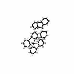 c1ccc(-n2c3ccccc3c3cccc(-c4ccc5c(c4)-c4ccccc4C54c5ccccc5-c5ccccc54)c32)cc1